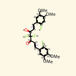 COc1cc(F)c(/C=C/C(=O)C(F)(F)C(=O)/C=C/c2cc(OC)c(OC)cc2F)cc1OC